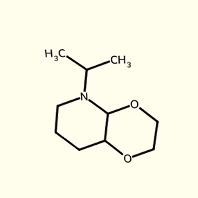 CC(C)N1CCCC2OCCOC21